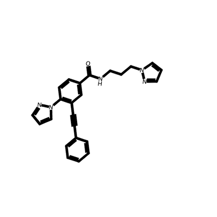 O=C(NCCCn1cccn1)c1ccc(-n2cccn2)c(C#Cc2ccccc2)c1